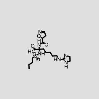 CCCCS(=O)(=O)NC(CCCCCNC1=NCCN1)(NC(=O)C1CC=NO1)C(=O)O